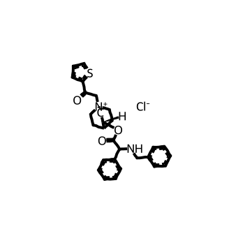 O=C(C[N+]12CCC(CC1)[C@@H](OC(=O)C(NCc1ccccc1)c1ccccc1)C2)c1cccs1.[Cl-]